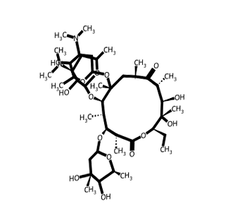 CC[C@H]1OC(=O)[C@H](C)[C@@H](OC2C[C@@](C)(O)C(O)[C@H](C)O2)[C@H](C)[C@@H](OC2OC(C)C[C@H](N(C)C)C2O)[C@](C)(OC2CC(N(C)C)C(O)C(C)O2)C[C@@H](C)C(=O)[C@H](C)[C@@H](O)[C@]1(C)O